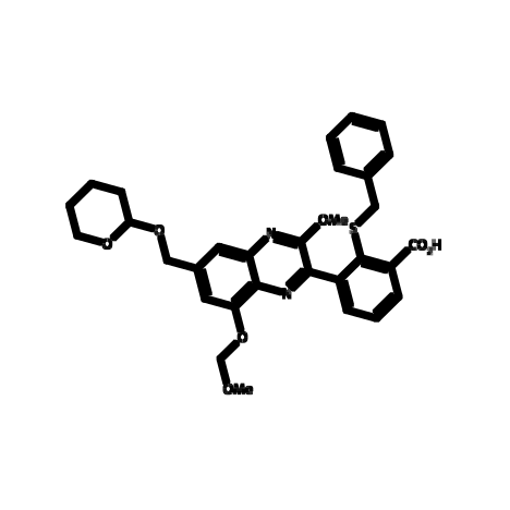 COCOc1cc(COC2CCCCO2)cc2nc(OC)c(-c3cccc(C(=O)O)c3SCc3ccccc3)nc12